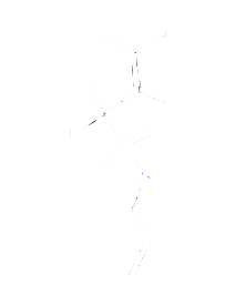 C=CC[N]S(=O)(=O)C(F)(F)C(F)=C(F)F